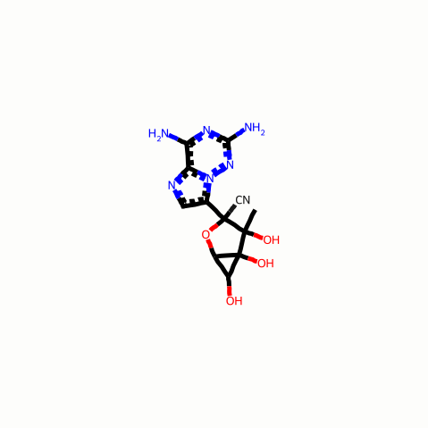 CC1(O)C(C#N)(c2cnc3c(N)nc(N)nn23)OC2C(O)C21O